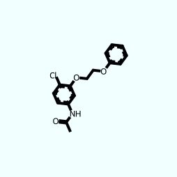 CC(=O)Nc1ccc(Cl)c(OCCOc2ccccc2)c1